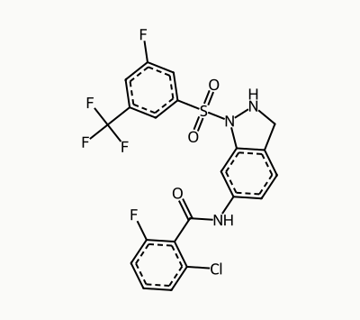 O=C(Nc1ccc2c(c1)N(S(=O)(=O)c1cc(F)cc(C(F)(F)F)c1)NC2)c1c(F)cccc1Cl